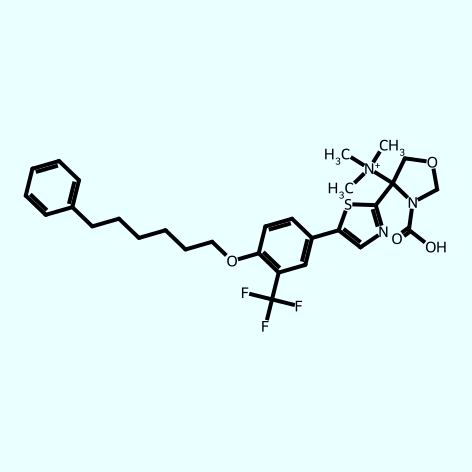 C[N+](C)(C)C1(c2ncc(-c3ccc(OCCCCCCc4ccccc4)c(C(F)(F)F)c3)s2)COCN1C(=O)O